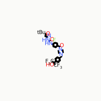 CC(C)(C)c1cc(NC(=O)Nc2ccc(C(=O)N3CCN(Cc4ccc(C(O)(C(F)(F)F)C(F)(F)F)cc4)CC3)cc2F)no1